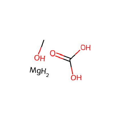 CO.O=C(O)O.[MgH2]